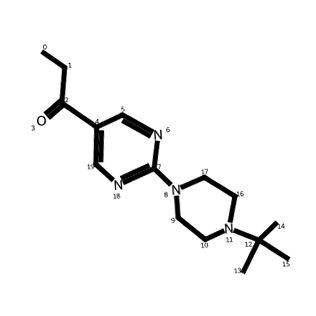 CCC(=O)c1cnc(N2CCN(C(C)(C)C)CC2)nc1